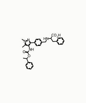 Cc1c(NC(=O)OC(C)c2ccccc2)c(-c2ccc(CNC(Cc3ccccc3)C(=O)O)cc2)nn1C